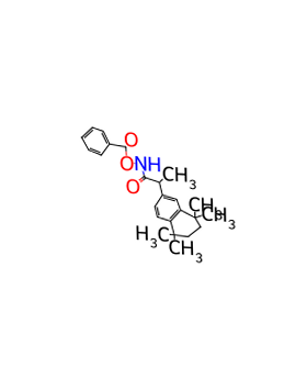 CC(C(=O)NOC(=O)c1ccccc1)c1ccc2c(c1)C(C)(C)CCC2(C)C